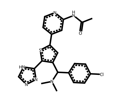 CC(=O)Nc1cc(-c2cc(C(c3ccc(Cl)cc3)N(C)C)c(-c3nnc[nH]3)s2)ccn1